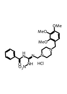 COc1ccc(CN2CCN(CN=C(NC(=O)c3ccccc3)N[N+](=O)[O-])CC2)c(OC)c1OC.Cl